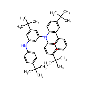 CC(C)(C)c1ccc(Nc2cc(N(c3ccc(C(C)(C)C)cc3)c3ccc(C(C)(C)C)cc3-c3ccccc3)cc(C(C)(C)C)c2)cc1